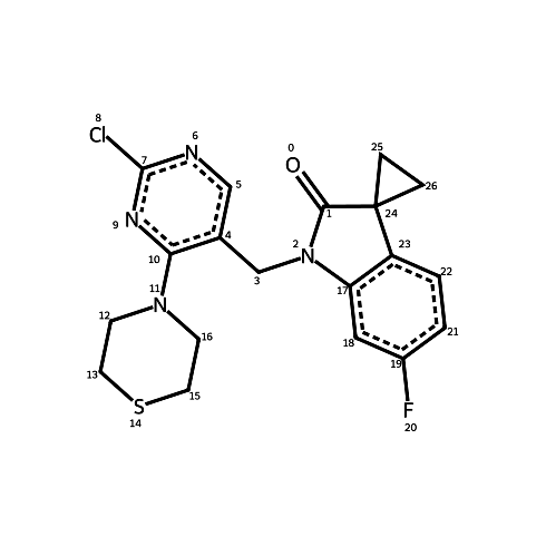 O=C1N(Cc2cnc(Cl)nc2N2CCSCC2)c2cc(F)ccc2C12CC2